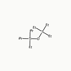 C[CH2][Ti]([CH2]C)([CH2]C)[O][Ti]([CH2]C)([CH](C)C)[CH](C)C